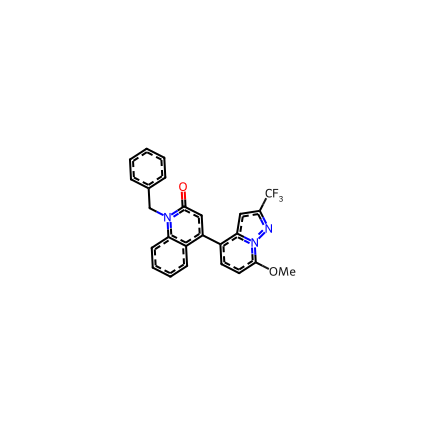 COc1ccc(-c2cc(=O)n(Cc3ccccc3)c3ccccc23)c2cc(C(F)(F)F)nn12